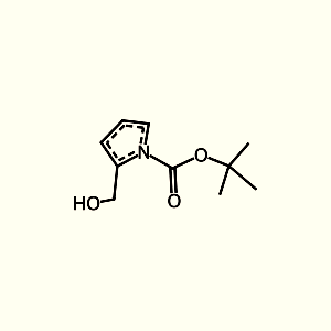 CC(C)(C)OC(=O)n1cccc1CO